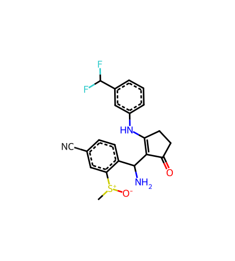 C[S+]([O-])c1cc(C#N)ccc1C(N)C1=C(Nc2cccc(C(F)F)c2)CCC1=O